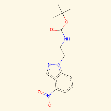 CC(C)(C)OC(=O)NCCn1ncc2c([N+](=O)[O-])cccc21